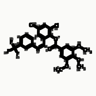 COc1cc(C(=O)Oc2c(Cl)cc(Cl)cc2/C=N\c2cccc(C(F)(F)F)c2)cc(OC)c1OC